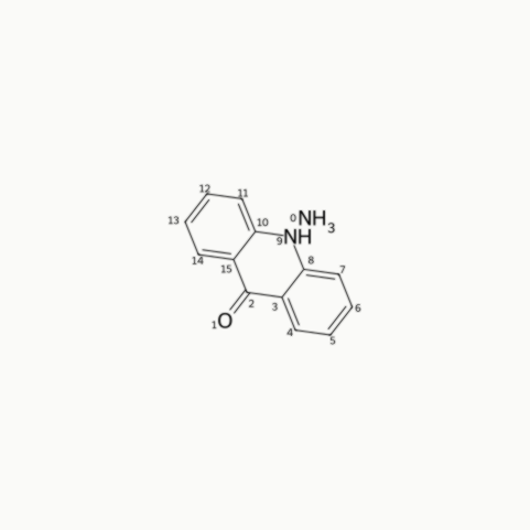 N.O=c1c2ccccc2[nH]c2ccccc12